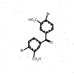 O=C(c1ccc(Br)c(C(=O)O)c1)c1ccc(Br)c(C(=O)O)c1